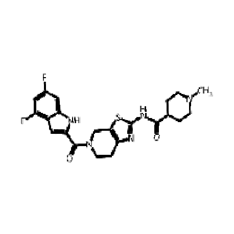 CN1CCC(C(=O)Nc2nc3c(s2)CN(C(=O)c2cc4c(F)cc(F)cc4[nH]2)CC3)CC1